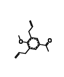 C=CCc1cc(C(C)=O)cc(CC=C)c1OC